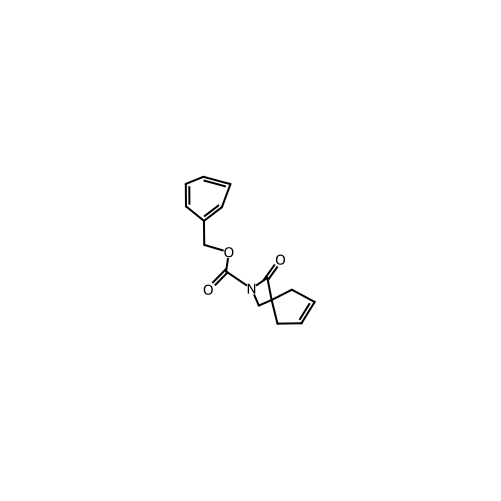 O=C(OCc1ccccc1)N1CC2(CC=CC2)C1=O